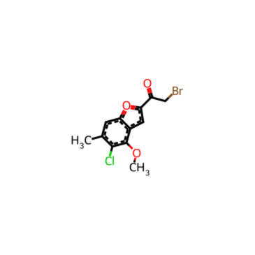 COc1c(Cl)c(C)cc2oc(C(=O)CBr)cc12